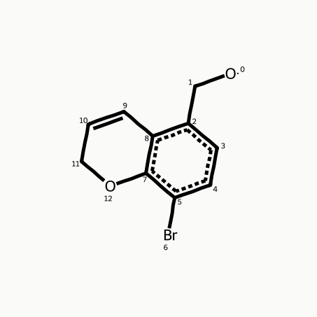 [O]Cc1ccc(Br)c2c1C=CCO2